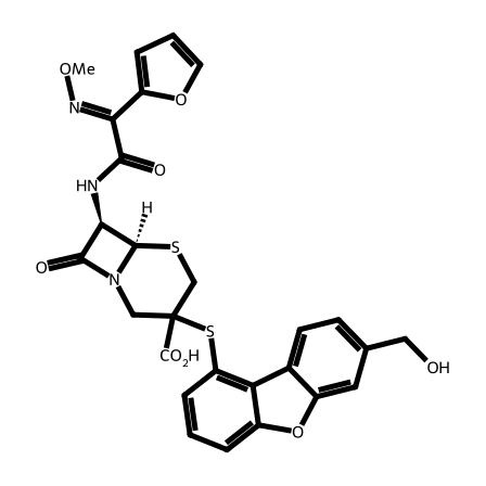 CON=C(C(=O)N[C@@H]1C(=O)N2CC(Sc3cccc4oc5cc(CO)ccc5c34)(C(=O)O)CS[C@H]12)c1ccco1